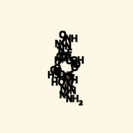 Nc1ncnc2c1ncn2[C@H]1[C@H](O)[C@@H]2O[P@](=O)(S)OC[C@H]3O[C@@H](n4cnc5c(=O)[nH]cnc54)[C@H](F)[C@@H]3OP(=O)(O)OC[C@]23C[C@H]13